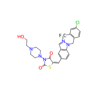 O=C1SC(=Cc2ccc3c(cnn3Cc3ccc(Cl)cc3C(F)(F)F)c2)C(=O)N1N1CCN(CCO)CC1